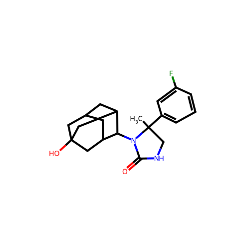 CC1(c2cccc(F)c2)CNC(=O)N1C1C2CC3CC1CC(O)(C3)C2